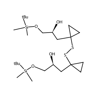 CC(C)(C)[Si](C)(C)OC[C@@H](O)CC1(SSC2(C[C@H](O)CO[Si](C)(C)C(C)(C)C)CC2)CC1